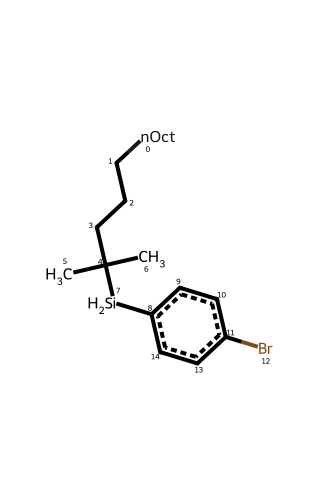 CCCCCCCCCCCC(C)(C)[SiH2]c1ccc(Br)cc1